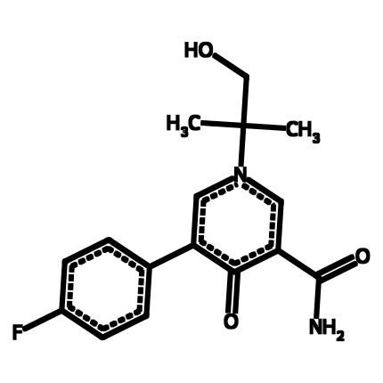 CC(C)(CO)n1cc(C(N)=O)c(=O)c(-c2ccc(F)cc2)c1